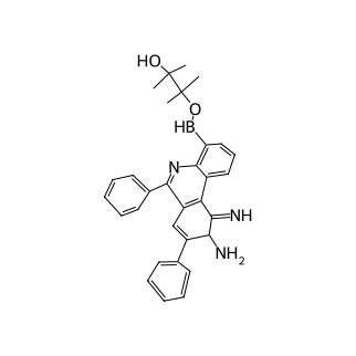 CC(C)(O)C(C)(C)OBc1cccc2c3c(c(-c4ccccc4)nc12)C=C(c1ccccc1)C(N)C3=N